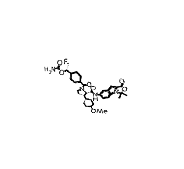 CO[C@H]1CC[C@H]([C@@H]2CCN(C(=O)C3CCC([C@@H](CF)OC(N)=O)CC3)[C@@H]2C(=O)Nc2ccc3c(c2)cc2n3C(C)(C)OC2=O)CC1